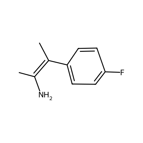 C/C(N)=C(\C)c1ccc(F)cc1